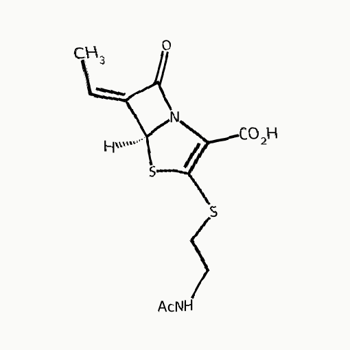 CC=C1C(=O)N2C(C(=O)O)=C(SCCNC(C)=O)S[C@@H]12